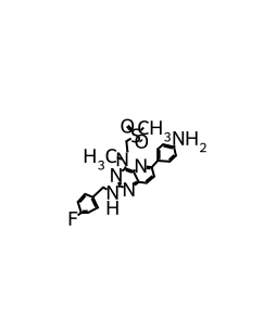 CN(CCS(C)(=O)=O)c1nc(NCc2ccc(F)cc2)nc2ccc(-c3ccc(N)cc3)nc12